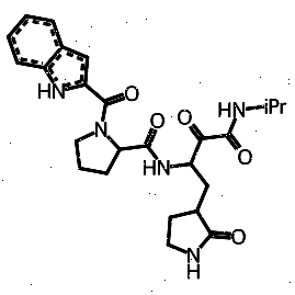 CC(C)NC(=O)C(=O)C(CC1CCNC1=O)NC(=O)C1CCCN1C(=O)c1cc2ccccc2[nH]1